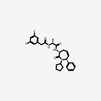 C[C@H](NC(=O)Cc1cc(F)cc(F)c1)C(=O)N[C@H]1CC=C[C@@H](c2ccccc2)N(C2CCCC2)C1=O